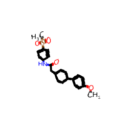 COc1ccc(C2CCC(CC(=O)Nc3ccc(S(C)(=O)=O)cc3)CC2)cc1